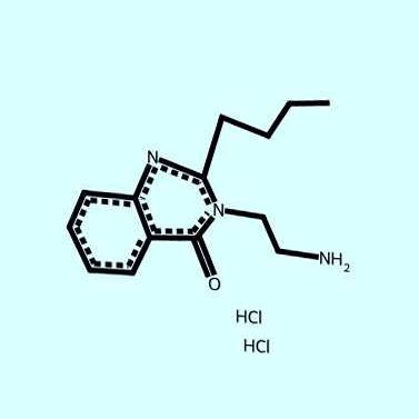 CCCCc1nc2ccccc2c(=O)n1CCN.Cl.Cl